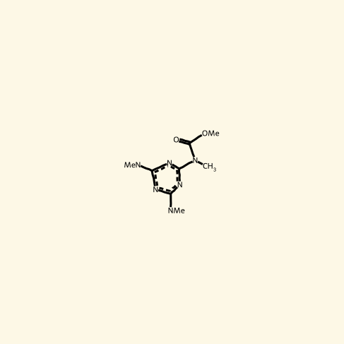 CNc1nc(NC)nc(N(C)C(=O)OC)n1